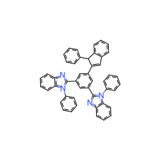 C1=C(c2cc(-c3nc4ccccc4n3-c3ccccc3)cc(-c3nc4ccccc4n3-c3ccccc3)c2)C(c2ccccc2)c2ccccc21